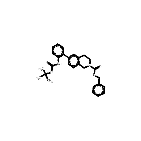 CC(C)(C)OC(=O)Nc1ccccc1-c1ccc2c(c1)CCN(C(=O)OCc1ccccc1)C2